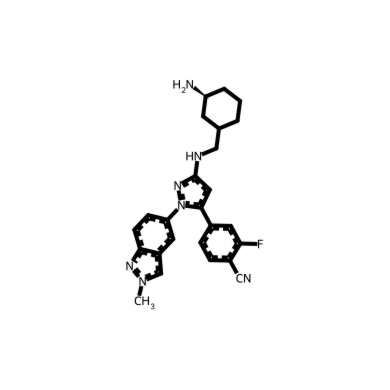 Cn1cc2cc(-n3nc(NCC4CCC[C@H](N)C4)cc3-c3ccc(C#N)c(F)c3)ccc2n1